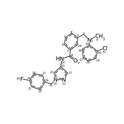 CN(Cc1cccc(C(=O)Nc2cnn(Cc3ccc(F)cc3)c2)c1)c1ccccc1Cl